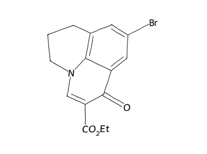 CCOC(=O)c1cn2c3c(cc(Br)cc3c1=O)CCC2